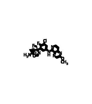 COc1cnc2c(Nc3cc(Cl)c(F)c([C@@]4(CF)N=CO[C@@]5(N)C[C@@H]54)c3)nccc2n1